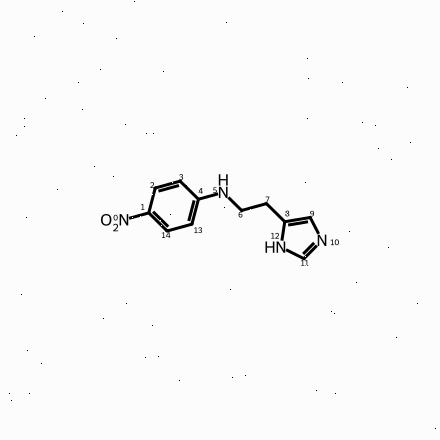 O=[N+]([O-])c1ccc(NCCc2cnc[nH]2)cc1